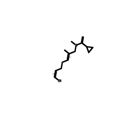 C=C(C1CC1)N(C)C/C(C)=C/CC/C=C\CC